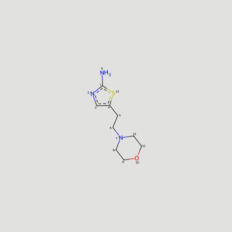 Nc1ncc(CCN2CCOCC2)s1